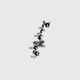 CC(=O)[SH](CCNC(=O)CCNC(=O)C(O)C(C)(C)COP(=O)(O)OP(=O)(O)OC[C@H]1O[C@@H](n2cnc3c(N)ncnc32)[C@H](O)[C@@H]1OP(=O)(O)O)c1cncc(F)c1